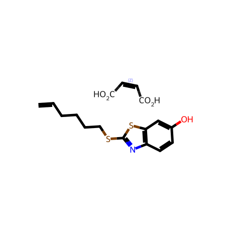 C=CCCCCSc1nc2ccc(O)cc2s1.O=C(O)/C=C\C(=O)O